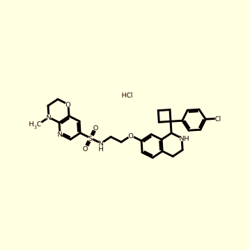 CN1CCOc2cc(S(=O)(=O)NCCOc3ccc4c(c3)C(C3(c5ccc(Cl)cc5)CCC3)NCC4)cnc21.Cl